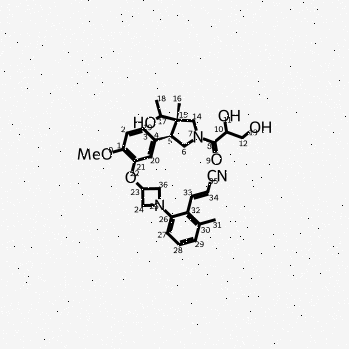 COc1ccc([C@@H]2CN(C(=O)C(O)CO)C[C@@]2(C)C(C)O)cc1OC1CN(c2cccc(C)c2C=CC#N)C1